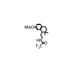 COc1ccc2c(c1)C(CCNC(=O)C(F)(F)F)C(C)(C)CC2